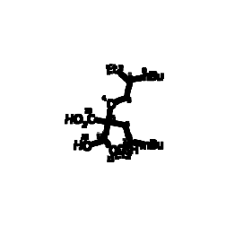 CCCCC(CC)COC(CC(CC)CCCC)(C(=O)O)C(O)C(=O)O